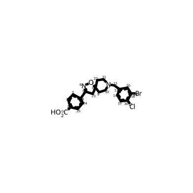 O=C(O)c1ccc(C2=NOC3(CCN(Cc4ccc(Cl)c(Br)c4)CC3)C2)cc1